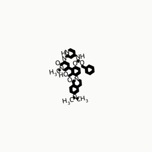 CN(C)c1ccc2c(c1)CCN(c1cccc(-c3cc(Nc4cc(NC(=O)OCc5ccccc5)ccn4)c(=O)n(C)c3)c1CO)C2=O